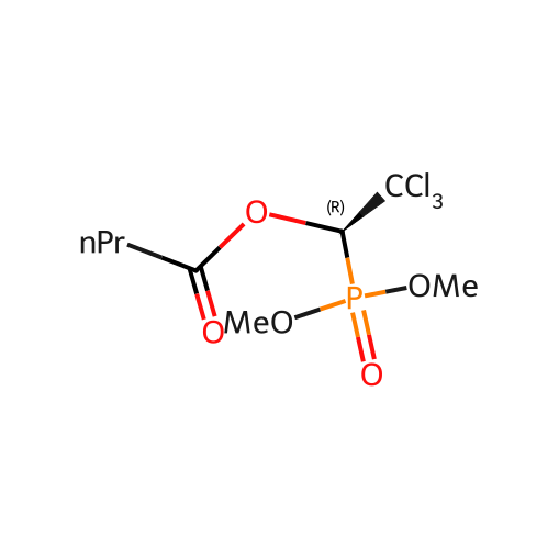 CCCC(=O)O[C@@H](C(Cl)(Cl)Cl)P(=O)(OC)OC